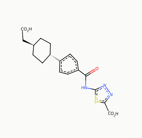 O=C(O)C[C@H]1CC[C@H](c2ccc(C(=O)Nc3nnc(C(=O)O)s3)cc2)CC1